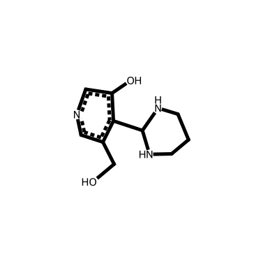 OCc1cncc(O)c1C1NCCCN1